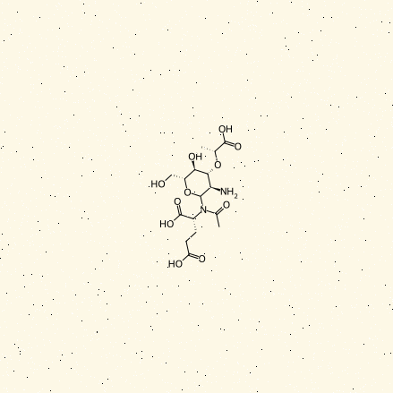 CC(=O)N(C1O[C@H](CO)[C@@H](O)[C@H](O[C@H](C)C(=O)O)[C@H]1N)[C@H](CCC(=O)O)C(=O)O